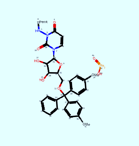 CCCCCNn1c(=O)ccn([C@H]2O[C@@H](COC(c3ccccc3)(c3ccc(OC)cc3)c3ccc(OC)cc3)C(O)C2O)c1=O.O=[PH2]O